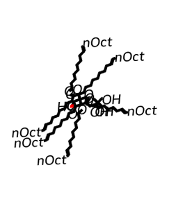 CCCCCCCCC=CCCCCCCCC(=O)OC(C(=O)CCCCCCCC=CCCCCCCCC)(C(=O)CCCCCCCC=CCCCCCCCC)C(CO)(COCC(CO)(CO)CO)C(OC(=O)CCCCCCCC=CCCCCCCCC)(C(=O)CCCCCCCC=CCCCCCCCC)C(=O)CCCCCCCC=CCCCCCCCC